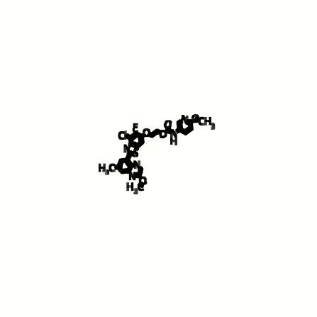 COc1ccc(NC(=O)OCCOc2cc3sc(-c4cc(C)cc5nc(OC)cnc45)nc3c(Cl)c2F)cn1